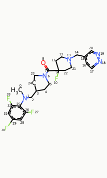 CN(CC1CCN(C(=O)C2(F)CCN(Cc3ccnnc3)CC2)CC1)c1c(F)cc(F)cc1F